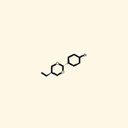 CC[C@H]1CO[C@H](C2CCC(Br)CC2)OC1